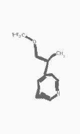 COCC(C)c1[c]nccc1